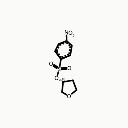 O=[N+]([O-])c1ccc(S(=O)(=O)O[C@@H]2CCOC2)cc1